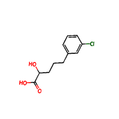 O=C(O)C(O)CCCc1cccc(Cl)c1